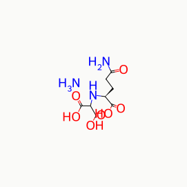 N.NC(=O)CC[C@H](NC(C(=O)O)C(=O)O)C(=O)O